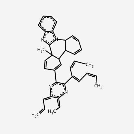 C=C/C=c1/nc(C2=CC3C4C=CC=CC4n4c(nc5ccccc54)C3(C)C=C2)c(C(/C=C\C)=C/C=C\C)n/c1=C/C